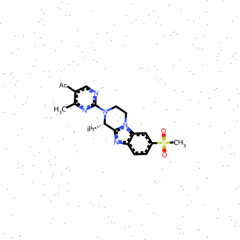 CC(=O)c1cnc(N2CCn3c(nc4ccc(S(C)(=O)=O)cc43)[C@@H]2C(C)C)nc1C